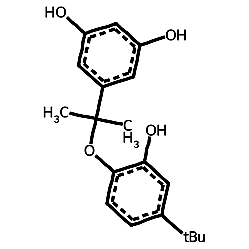 CC(C)(C)c1ccc(OC(C)(C)c2cc(O)cc(O)c2)c(O)c1